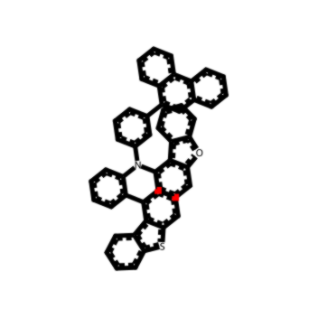 c1cc(-c2cc3ccccc3c3ccccc23)cc(N(c2ccccc2-c2cccc3sc4ccccc4c23)c2cccc3oc4ccccc4c23)c1